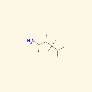 CC(N)C(C)C(C)(C)C(C)C